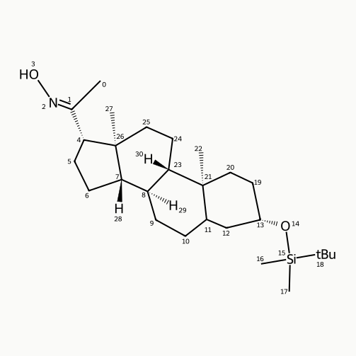 C/C(=N\O)[C@H]1CC[C@H]2[C@@H]3CCC4C[C@@H](O[Si](C)(C)C(C)(C)C)CC[C@]4(C)[C@H]3CC[C@]12C